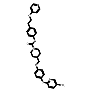 Cc1ccc(Oc2ccc(OCC3CCN(C(=O)Oc4ccc(CCOc5ccncc5)cc4)CC3)cc2)nc1